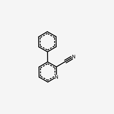 N#Cc1ncccc1-c1ccccc1